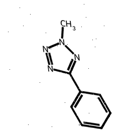 Cn1nnc(-c2c[c]ccc2)n1